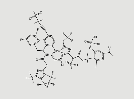 CC(=O)c1cc(C)c(C(C)(C)CC(=O)N(c2nn(CC(F)(F)F)c3c(-c4ccc(C#CC(C)(C)S(C)(=O)=O)nc4[C@H](Cc4cc(F)cc(F)c4)NC(=O)Cn4nc(C(F)(F)F)c5c4C(F)(F)[C@@H]4C[C@H]54)ccc(Cl)c23)S(C)(=O)=O)c(OP(=O)(O)O)c1